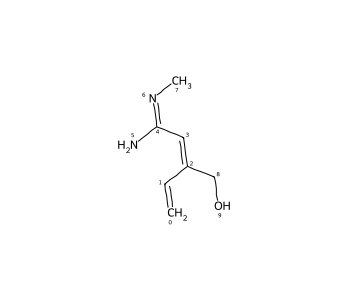 C=C/C(=C\C(N)=N/C)CO